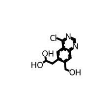 OCc1cc2ncnc(Cl)c2cc1CC(O)O